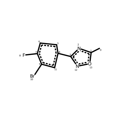 Cc1nc(-c2ccc(F)c(Br)c2)no1